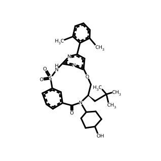 Cc1cccc(C)c1-c1cc2nc(n1)NS(=O)(=O)c1cccc(c1)C(=O)N(C1CCC(O)CC1)[C@H](CC(C)(C)C)CO2